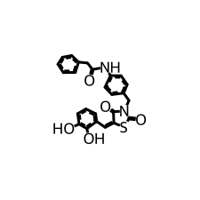 O=C(Cc1ccccc1)Nc1ccc(CN2C(=O)SC(=Cc3cccc(O)c3O)C2=O)cc1